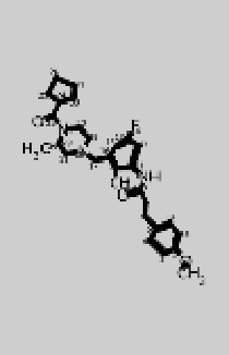 COc1ccc(CCC(=O)Nc2cc(F)cc(CN3CCN(C(=O)C4CCCC4)[C@@H](C)C3)c2C)cc1